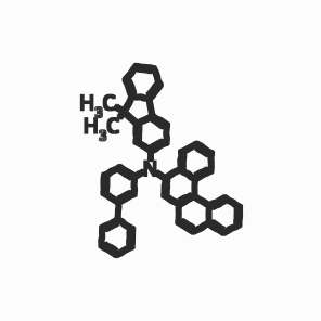 CC1(C)c2ccccc2-c2ccc(N(c3cccc(-c4ccccc4)c3)c3cc4ccc5ccccc5c4c4ccccc34)cc21